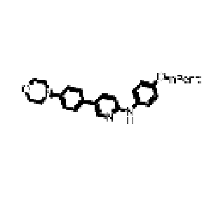 CCCCCOc1ccc(Nc2ccc(-c3ccc(N4CCOCC4)cc3)cn2)cc1